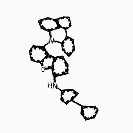 c1ccc(-c2ccc(Nc3cccc4c3oc3cccc(N(c5ccccc5)c5ccccc5-c5ccccc5)c34)cc2)cc1